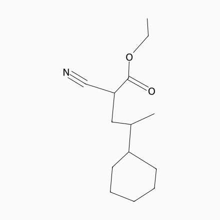 CCOC(=O)C(C#N)CC(C)C1CCCCC1